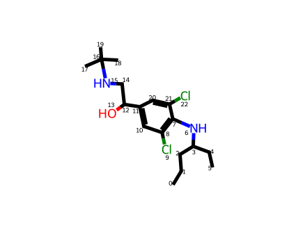 CCCC(CC)Nc1c(Cl)cc(C(O)CNC(C)(C)C)cc1Cl